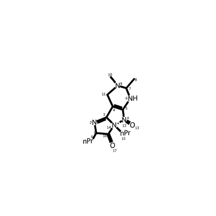 CCCC1N=C2C3=C(NC(C)N(C)C3)[N+](=O)[N+]2(CCC)C1=O